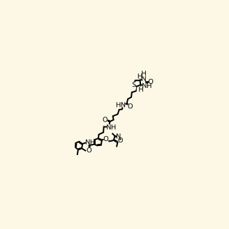 Cc1cccc(NC(=O)c2ccc(OCc3c(C)noc3C)c(CCCNC(=O)CCCCCNC(=O)CCCC[C@H]3SC[C@H]4NC(=O)N[C@H]43)c2)c1C